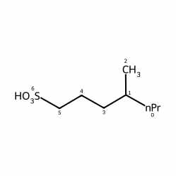 CCCC(C)CCCS(=O)(=O)O